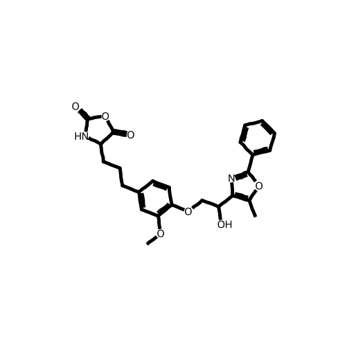 COc1cc(CCCC2NC(=O)OC2=O)ccc1OCC(O)c1nc(-c2ccccc2)oc1C